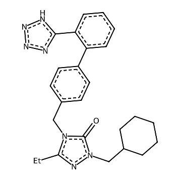 CCc1nn(CC2CCCCC2)c(=O)n1Cc1ccc(-c2ccccc2-c2nnn[nH]2)cc1